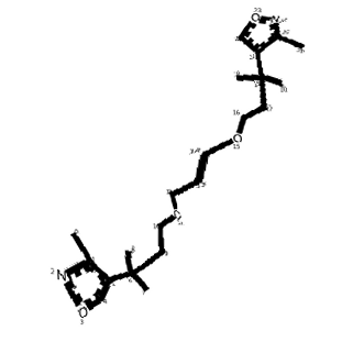 Cc1nocc1C(C)(C)CCOCCCOCCC(C)(C)c1conc1C